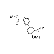 COC(=O)c1cncc(-c2ccc(OC)c(OC(C)C)c2)n1